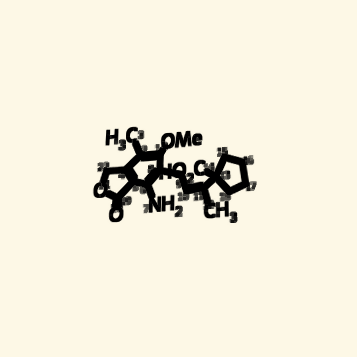 COc1c(C)c2c(c(N)c1CC=C(C)C1(C(=O)O)CCCC1)C(=O)OC2